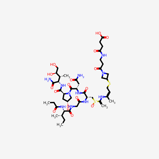 C=C(N/C(C)=C\CSC1CN(C(=O)CCNC(=O)CCC(=O)O)C1)[S+]([O-])C[C@H](NC(=O)CNC(=O)[C@@H](NC(=O)CC)[C@@H](C)CC)C(=O)N[C@@H](CC(N)=O)C(=O)N1C[C@H](O)C[C@H]1C(=O)N[C@H](C(N)=O)[C@@H](C)[C@@H](O)CO